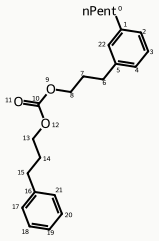 CCCCCc1cccc(CCCOC(=O)OCCCc2ccccc2)c1